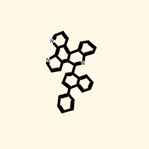 c1ccc(-c2ccc(-c3nc4ccccc4c4c5cccnc5c5ncccc5c34)c3ccccc23)cc1